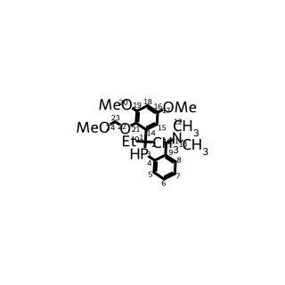 CCC(C)(Pc1ccccc1CN(C)C)c1cc(OC)cc(OC)c1OCOC